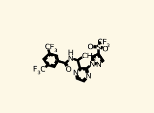 CC(NC(=O)c1cc(C(F)(F)F)cc(C(F)(F)F)c1)c1nccnc1-n1cc(S(=O)(=O)C(F)(F)F)cn1